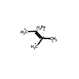 [CH2]C=C(C)C.[PoH2]